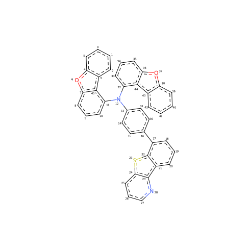 c1ccc2c(c1)oc1cccc(N(c3ccc(-c4cccc5c4sc4cccnc45)cc3)c3cccc4oc5ccccc5c34)c12